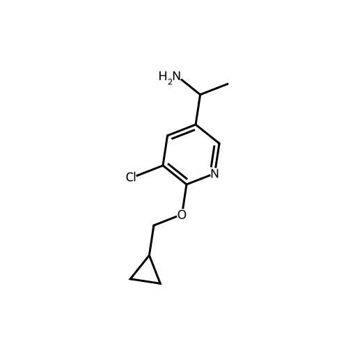 CC(N)c1cnc(OCC2CC2)c(Cl)c1